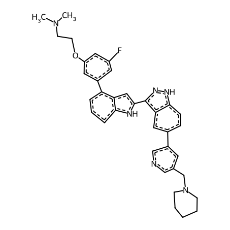 CN(C)CCOc1cc(F)cc(-c2cccc3[nH]c(-c4n[nH]c5ccc(-c6cncc(CN7CCCCC7)c6)cc45)cc23)c1